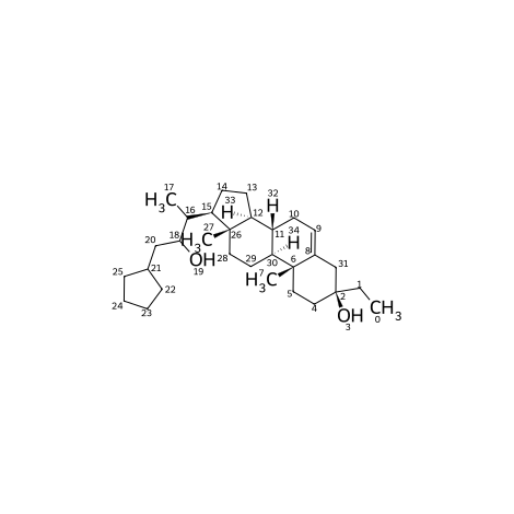 CC[C@]1(O)CC[C@@]2(C)C(=CC[C@H]3[C@@H]4CC[C@H](C(C)C(O)CC5CCCC5)[C@@]4(C)CC[C@@H]32)C1